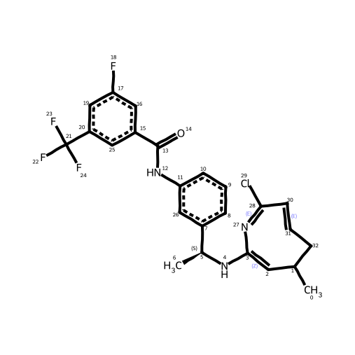 CC1\C=C(N[C@@H](C)c2cccc(NC(=O)c3cc(F)cc(C(F)(F)F)c3)c2)/N=C(Cl)\C=C\C1